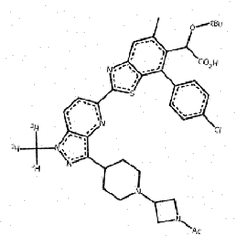 [2H]C([2H])([2H])n1nc(C2CCN(C3CN(C(C)=O)C3)CC2)c2nc(-c3nc4cc(C)c(C(OC(C)(C)C)C(=O)O)c(-c5ccc(Cl)cc5)c4s3)ccc21